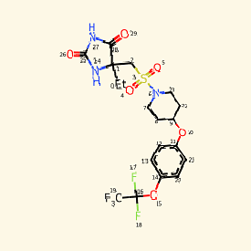 CCC1(CS(=O)(=O)N2CCC(Oc3ccc(OC(F)(F)C(F)(F)F)cc3)CC2)NC(=O)NC1=O